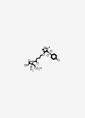 C[n+]1onc(OCCCC(=O)N[C@@](N)(CC(=O)O)C(=O)N=O)c1S(=O)(=O)c1ccc(Cl)cc1